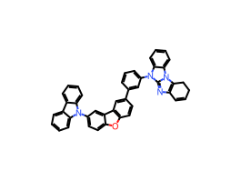 C1=Cc2nc3n(-c4cccc(-c5ccc6oc7ccc(-n8c9ccccc9c9ccccc98)cc7c6c5)c4)c4ccccc4n3c2CC1